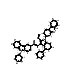 C=Cc1c(/C=C(\C)c2ccc3c(c2)c2ccccc2n3-c2ccccc2)c2c(-c3ccccc3)cccc2n1-c1ccc2c(c1)oc1ccccc12